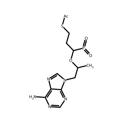 CC(=O)SCCC(OC(C)Cn1cnc2c(N)ncnc21)P(=O)=O